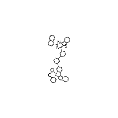 c1cc(-c2cccc(-c3nc(-c4cccc5ccccc45)nc4c3sc3ccccc34)c2)cc(-c2ccc3c(c2)C2(c4ccccc4Oc4ccccc42)c2ccc4ccccc4c2-3)c1